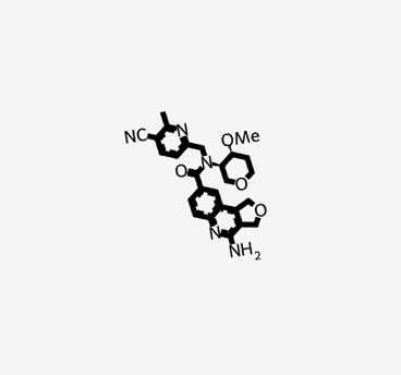 CO[C@@H]1CCOC[C@H]1N(Cc1ccc(C#N)c(C)n1)C(=O)c1ccc2nc(N)c3c(c2c1)COC3